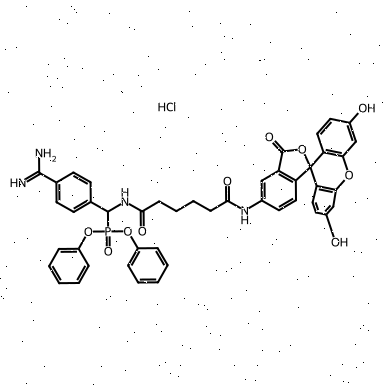 Cl.N=C(N)c1ccc(C(NC(=O)CCCCC(=O)Nc2ccc3c(c2)C(=O)OC32c3ccc(O)cc3Oc3cc(O)ccc32)P(=O)(Oc2ccccc2)Oc2ccccc2)cc1